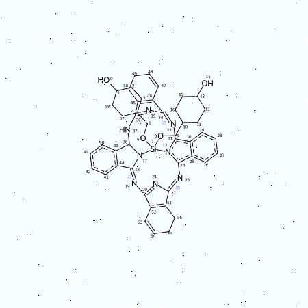 OC1CCC(CO[Si]2(OCC3CCC(O)CC3)N3/C4=N\C5=NC(=N\c6c7ccccc7c(n62)/N=C2\N=C(NC3c3ccccc34)C3=C2C=CCC3)/C2=C5C=CCC2)CC1